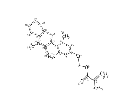 C=C(C)C(=O)OCOc1cc(C)c(-c2cc3ccccc3n(C)c2=O)c(C)c1